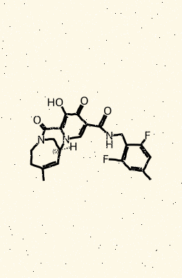 CC1=C[C@H]2CN(CC1)C(=O)c1c(O)c(=O)c(C(=O)NCc3c(F)cc(C)cc3F)cn12